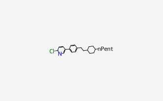 CCCCCC1CCC(CCc2ccc(-c3ccc(Cl)nc3)cc2)CC1